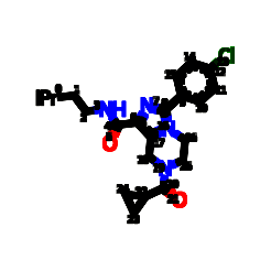 CC(C)CCNC(=O)c1nc(-c2ccc(Cl)cc2)n2c1CN(C(=O)C1CC1)CC2